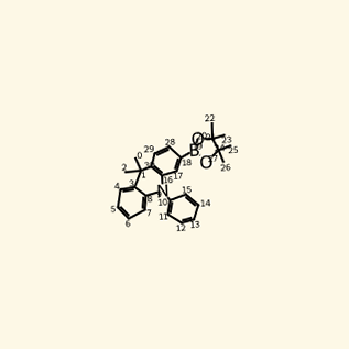 CC1(C)c2ccccc2N(c2ccccc2)c2cc(B3OC(C)(C)C(C)(C)O3)ccc21